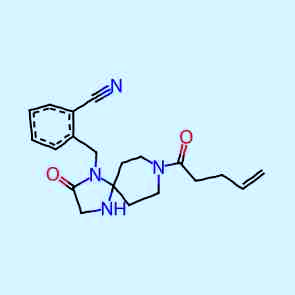 C=CCCC(=O)N1CCC2(CC1)NCC(=O)N2Cc1ccccc1C#N